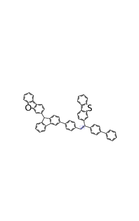 C(=C(\c1ccc(-c2ccccc2)cc1)c1ccc2c(c1)sc1ccccc12)/c1ccc(-c2ccc3c(c2)-c2ccccc2C3c2ccc3c(c2)oc2ccccc23)cc1